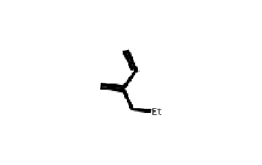 C=[C]C(=C)CCC